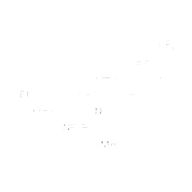 CCOc1cc(Oc2cccc(C(F)(F)F)c2)nc(SC)n1